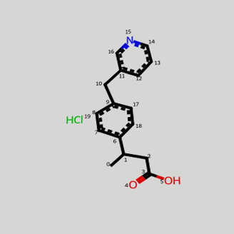 CC(CC(=O)O)c1ccc(Cc2cccnc2)cc1.Cl